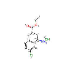 CCOC(=O)[C@H]1Cc2ccc(Cl)cc2[C@H](N)C1.Cl